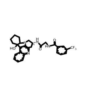 O=C(CNC(=O)c1cccc(C(F)(F)F)c1)N[C@@H]1CCN(C2CCCCC2(O)c2ccnc3ccccc23)C1